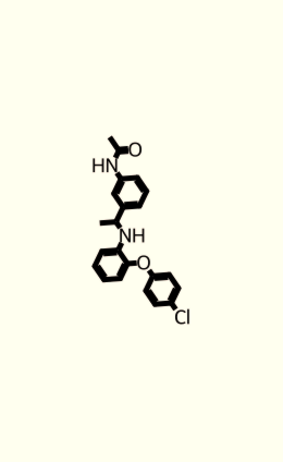 CC(=O)Nc1cccc(C(C)Nc2ccccc2Oc2ccc(Cl)cc2)c1